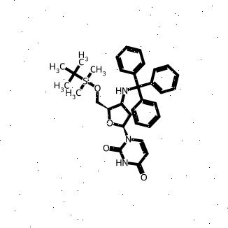 CC(C)(C)[Si](C)(C)OC[C@@H]1O[C@H](n2ccc(=O)[nH]c2=O)CC1NC(c1ccccc1)(c1ccccc1)c1ccccc1